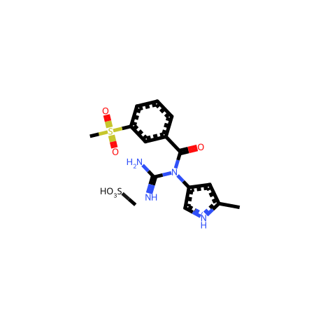 CS(=O)(=O)O.Cc1cc(N(C(=N)N)C(=O)c2cccc(S(C)(=O)=O)c2)c[nH]1